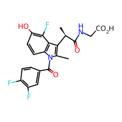 Cc1c([C@@H](C)C(=O)NCC(=O)O)c2c(F)c(O)ccc2n1C(=O)c1ccc(F)c(F)c1